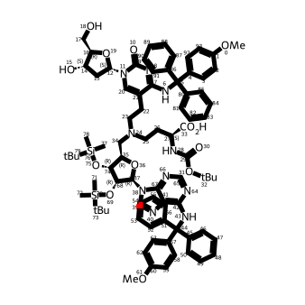 COc1ccc(C(Nc2nc(=O)n([C@@H]3C[C@H](O)[C@@H](CO)O3)cc2CCN(CC[C@H](NC(=O)OC(C)(C)C)C(=O)O)C[C@H]2O[C@@H](n3cnc4c(NC(c5ccccc5)(c5ccccc5)c5ccc(OC)cc5)ncnc43)[C@H](O[Si](C)(C)C(C)(C)C)[C@@H]2O[Si](C)(C)C(C)(C)C)(c2ccccc2)c2ccccc2)cc1